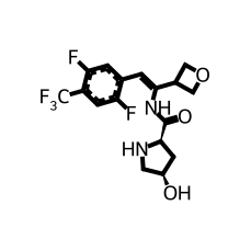 O=C(NC(=Cc1cc(F)c(C(F)(F)F)cc1F)C1COC1)[C@H]1C[C@@H](O)CN1